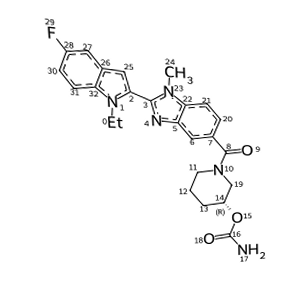 CCn1c(-c2nc3cc(C(=O)N4CCC[C@@H](OC(N)=O)C4)ccc3n2C)cc2cc(F)ccc21